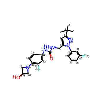 CC(C)(C)c1cc(CNC(=O)Nc2ccc(N3CC(O)C3)c(F)c2)n(-c2cccc(F)c2)n1